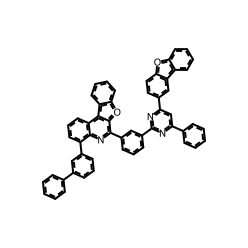 c1ccc(-c2cccc(-c3cccc4c3nc(-c3cccc(-c5nc(-c6ccccc6)cc(-c6ccc7oc8ccccc8c7c6)n5)c3)c3oc5ccccc5c34)c2)cc1